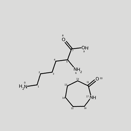 NCCCCC(N)C(=O)O.O=C1CCCCCN1